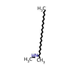 CCCCCCCCCCCCCCCCCCCCCCC(CC)NCCC